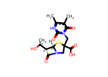 Cc1[nH]c(=O)n(CC2(C(=O)O)CN3C(=O)[C@H]([C@@H](C)O)[C@H]3S2)c(=O)c1C